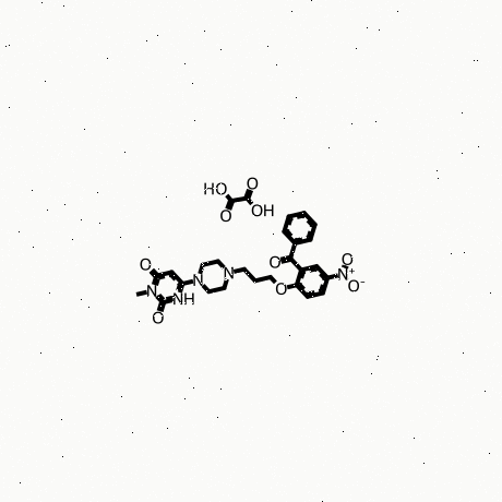 Cn1c(=O)cc(N2CCN(CCCOc3ccc([N+](=O)[O-])cc3C(=O)c3ccccc3)CC2)[nH]c1=O.O=C(O)C(=O)O